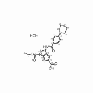 CCOC(=O)n1nc(NC(=O)c2ccc(N3CCOCC3)cc2)c2cc(C(=O)O)sc21.Cl